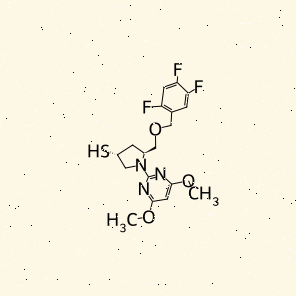 COc1cc(OC)nc(N2C[C@H](S)C[C@H]2COCc2cc(F)c(F)cc2F)n1